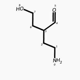 NCCC(C=O)CCO